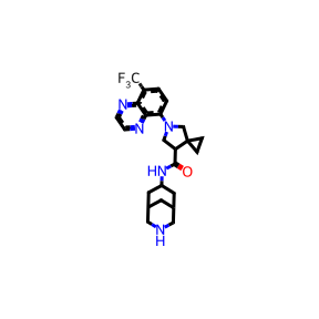 O=C(NC1CC2CNCC(C2)C1)C1CN(c2ccc(C(F)(F)F)c3nccnc23)CC12CC2